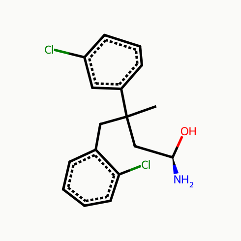 CC(Cc1ccccc1Cl)(C[C@H](N)O)c1cccc(Cl)c1